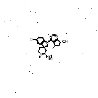 C[C@@H]1C[C@@H](O)c2ncnc(N3CC4(CCN(C)CC4)c4cc(Cl)ccc43)c21.Cl.Cl